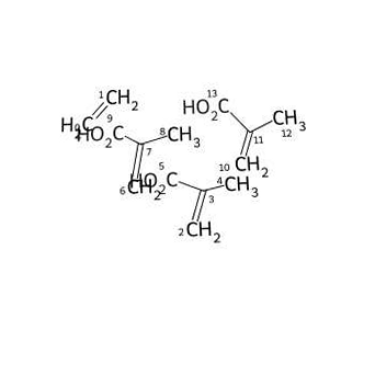 C=C.C=C(C)C(=O)O.C=C(C)C(=O)O.C=C(C)C(=O)O